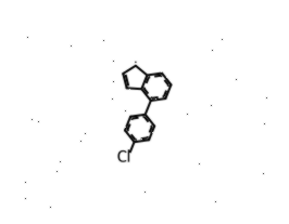 Clc1ccc(-c2cccc3c2C=C[CH]3)cc1